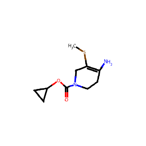 CSC1=C(N)CCN(C(=O)OC2CC2)C1